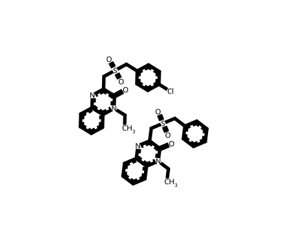 CCn1c(=O)c(CS(=O)(=O)Cc2ccc(Cl)cc2)nc2ccccc21.CCn1c(=O)c(CS(=O)(=O)Cc2ccccc2)nc2ccccc21